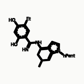 CCCCCn1ccc2c1=CC(C)CC=2NC(=N)c1cc(CC)c(O)cc1O